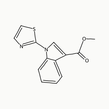 COC(=O)c1cn(-c2nccs2)c2ccccc12